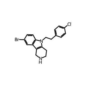 Clc1ccc(CCn2c3c(c4cc(Br)ccc42)CNCC3)cc1